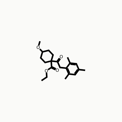 CCOC(=O)C1(C(=O)Cc2c(C)cc(C)cc2C)CCC(OC)CC1